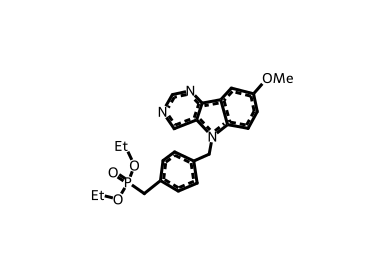 CCOP(=O)(Cc1ccc(Cn2c3ccc(OC)cc3c3ncncc32)cc1)OCC